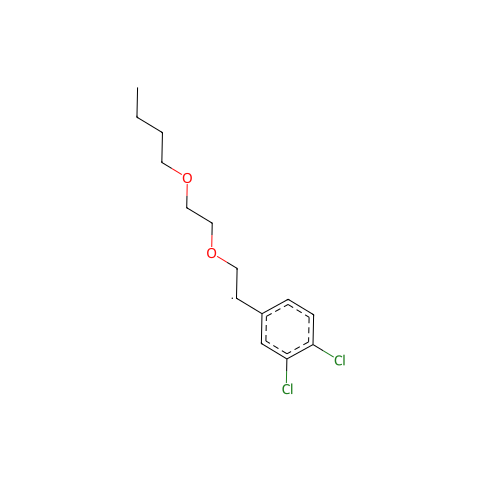 CCCCOCCOC[CH]c1ccc(Cl)c(Cl)c1